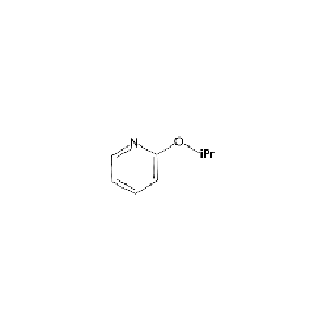 CC(C)Oc1ccccn1